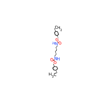 C=Cc1ccc(COC(=O)NCCCCCCNC(=O)OCc2ccc(C=C)cc2)cc1